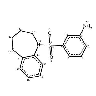 Nc1cccc(S(=O)(=O)N2CCCSc3ccccc32)c1